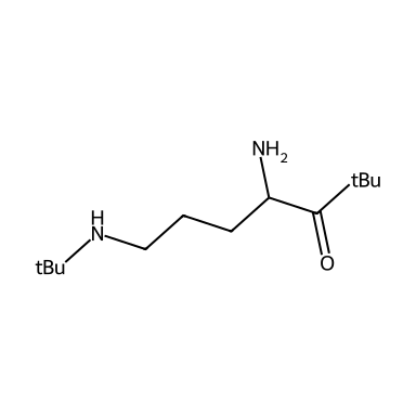 CC(C)(C)NCCCC(N)C(=O)C(C)(C)C